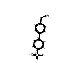 CC(C)Cc1ccc(-c2ccc(S(=O)(=O)F)cc2)cc1